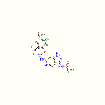 COC(=O)Nc1n[nH]c2cc(NC(=O)N[C@H](C)c3ccc(Cl)c(OC)c3)ncc12